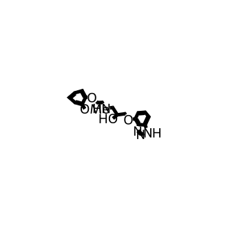 COc1ccccc1OCCNCC(O)COc1cccc2[nH]nnc12